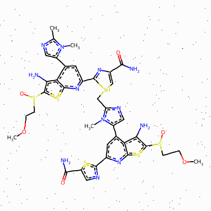 COCC[S+]([O-])c1sc2nc(C3=NC(C(N)=O)=C[SH]3Cc3ncc(-c4cc(-c5ncc(C(N)=O)s5)nc5sc([S+]([O-])CCOC)c(N)c45)n3C)cc(-c3cnc(C)n3C)c2c1N